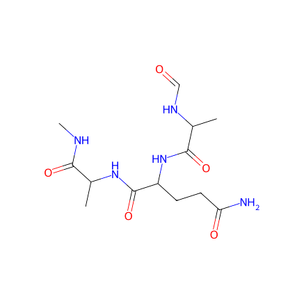 CNC(=O)C(C)NC(=O)C(CCC(N)=O)NC(=O)C(C)NC=O